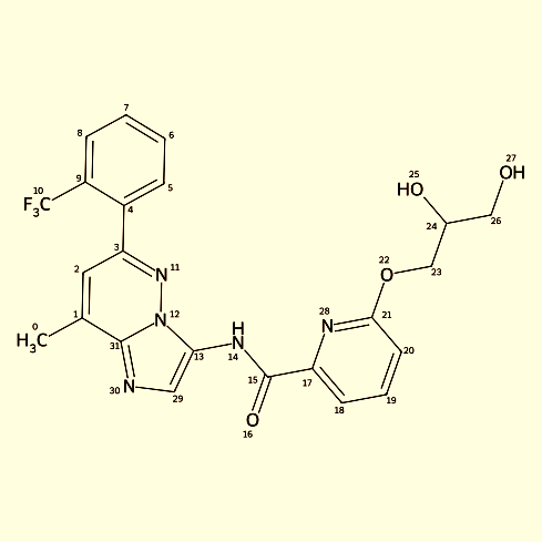 Cc1cc(-c2ccccc2C(F)(F)F)nn2c(NC(=O)c3cccc(OCC(O)CO)n3)cnc12